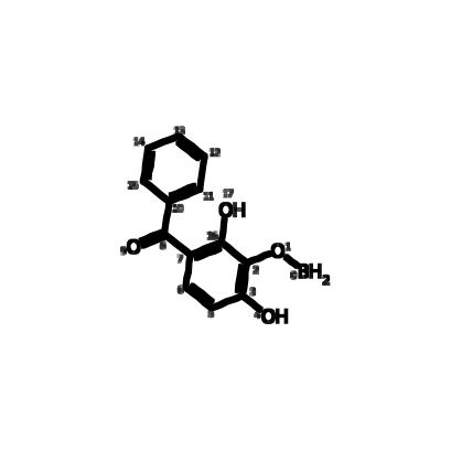 BOc1c(O)ccc(C(=O)c2ccccc2)c1O